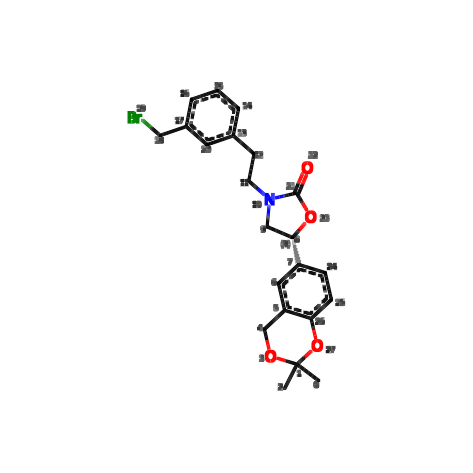 CC1(C)OCc2cc([C@@H]3CN(CCc4cccc(CBr)c4)C(=O)O3)ccc2O1